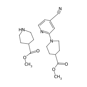 COC(=O)C1CCN(c2cc(C#N)ccn2)CC1.COC(=O)C1CCNCC1